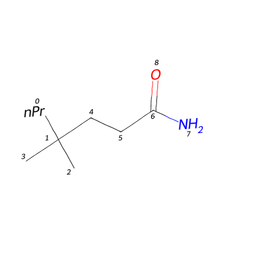 CCCC(C)(C)CCC(N)=O